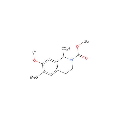 CCOc1cc2c(cc1OC)CCN(C(=O)OC(C)(C)C)C2C(=O)O